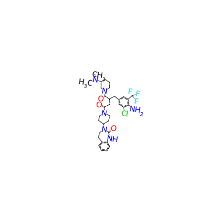 CN(C)C1CCCN(C(=O)C(CC(=O)N2CCC(N3CCc4ccccc4NC3=O)CC2)Cc2cc(Cl)c(N)c(C(F)(F)F)c2)C1